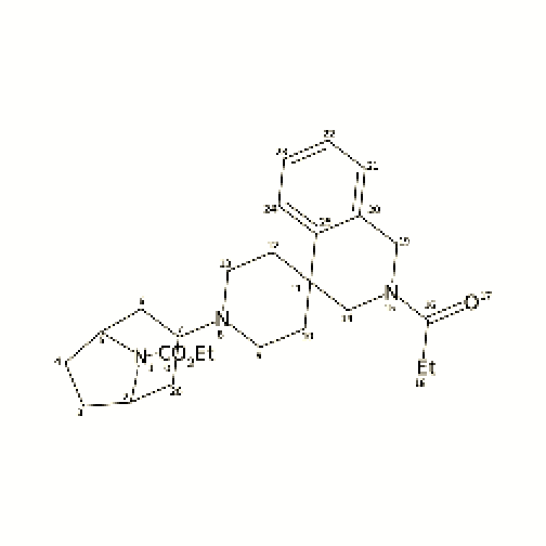 CCOC(=O)N1C2CCC1CC(N1CCC3(CC1)CN(C(=O)CC)Cc1ccccc13)C2